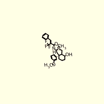 COc1cccc([C@@]23CCCC(O)C2CN(C)[C@H](NC(=O)C(=Cc2ccccc2)C(F)(F)F)C3)c1